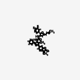 COCCN1C[C@@H](NC(=O)Nc2c(C)c(-c3cnc4c(c3)oc(=O)n4C)nn2-c2ccccc2)[C@H](c2cnc(F)c(F)c2)O1